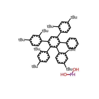 CC(C)(C)c1ccc(-c2cc(-c3ccc(C(C)(C)C)cc3C(C)(C)C)c(-c3ccc(C(C)(C)C)cc3C(C)(C)C)c(-c3ccc(C(C)(C)C)cc3C(C)(C)C)c2-c2ccccc2)c(C(C)(C)C)c1.OPO